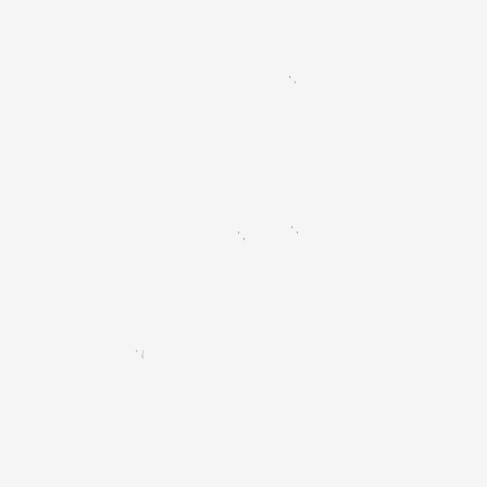 c1ccc2c(-c3ccc(-c4nc(-c5ccc(-c6nccc7ccccc67)cc5)c5cc(-c6cc7ccccc7c7ccccc67)cc(-c6cc7ccccc7c7ccccc67)c5n4)cc3)nccc2c1